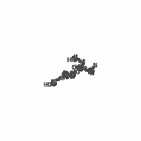 Cc1c(COc2cc(OCc3cncc(C#N)c3)c(CN(C)CCc3c[nH]cn3)cc2Cl)cccc1-c1cccc(OCCCN2CC[C@@H](O)C2)c1C